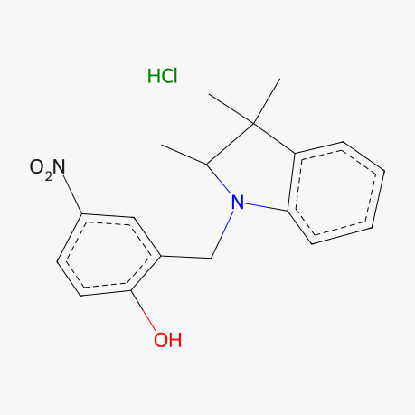 CC1N(Cc2cc([N+](=O)[O-])ccc2O)c2ccccc2C1(C)C.Cl